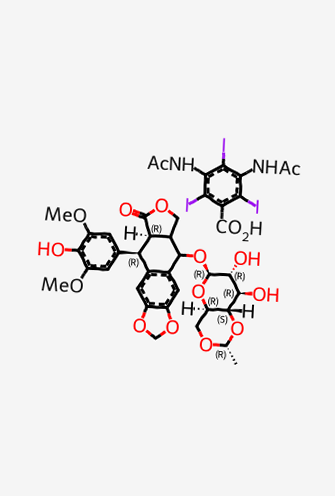 CC(=O)Nc1c(I)c(NC(C)=O)c(I)c(C(=O)O)c1I.COc1cc([C@@H]2c3cc4c(cc3C(O[C@@H]3O[C@@H]5CO[C@@H](C)O[C@H]5[C@H](O)[C@H]3O)C3COC(=O)[C@@H]32)OCO4)cc(OC)c1O